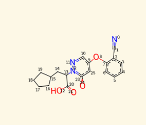 N#Cc1ccccc1Oc1cnn(C(CC2CCCC2)C(=O)O)c(=O)c1